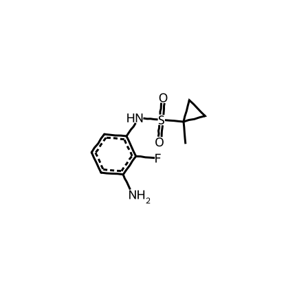 CC1(S(=O)(=O)Nc2cccc(N)c2F)CC1